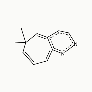 CC1(C)C=CC=c2nnccc2=C1